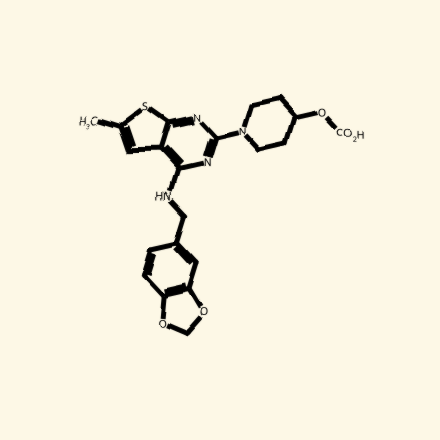 Cc1cc2c(NCc3ccc4c(c3)OCO4)nc(N3CCC(OC(=O)O)CC3)nc2s1